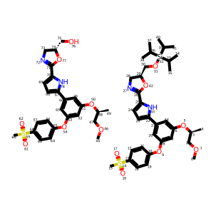 COC[C@H](C)Oc1cc(Oc2ccc(S(C)(=O)=O)cc2)cc(-c2ccc(C3=NC[C@@H](CO[Si](C(C)C)(C(C)C)C(C)C)O3)[nH]2)c1.COC[C@H](C)Oc1cc(Oc2ccc(S(C)(=O)=O)cc2)cc(-c2ccc(C3=NC[C@H](CO)O3)[nH]2)c1